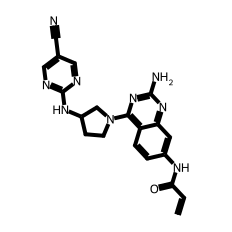 C=CC(=O)Nc1ccc2c(N3CCC(Nc4ncc(C#N)cn4)C3)nc(N)nc2c1